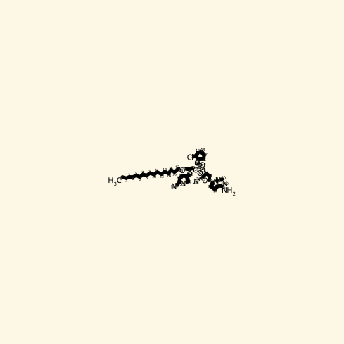 CCCCCCCCCCCCCCCCCCOCC(COP(=O)(OO[C@]1(C#N)CC[C@H](c2ccc3c(N)ncnn23)O1)Oc1ccccc1Cl)Oc1ccc(C#N)nc1